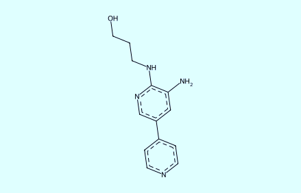 Nc1cc(-c2ccncc2)cnc1NCCCO